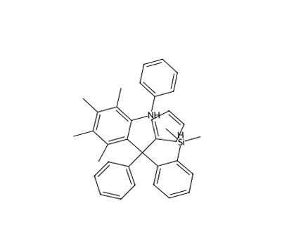 Cc1c(C)c(C)c(C(C2=CC=CC2)(c2ccccc2)c2ccccc2[SiH](C)C)c(Nc2ccccc2)c1C